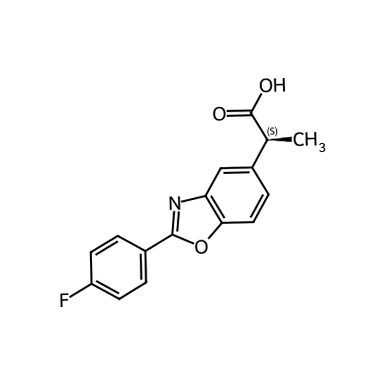 C[C@H](C(=O)O)c1ccc2oc(-c3ccc(F)cc3)nc2c1